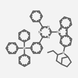 CCC1CC2CCC(C2)N1c1ccc2c3ccccc3n(-c3nc(-c4ccccc4)nc(-c4cccc([Si](c5ccccc5)(c5ccccc5)c5ccccc5)c4)n3)c2c1